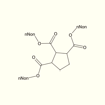 CCCCCCCCCOC(=O)C1[CH]CC(C(=O)OCCCCCCCCC)C1C(=O)OCCCCCCCCC